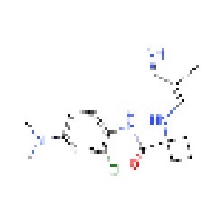 C/C(C=N)=C/NC1(C(=O)Nc2ccc(N(C)C)cc2Cl)CCC1